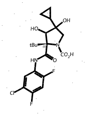 CC(C)(C)[C@@]1(C(=O)Nc2cc(Cl)c(F)cc2F)C(O)C(O)(C2CC2)CN1C(=O)O